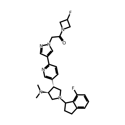 CN(C)[C@@H]1CN(C2CCc3cccc(F)c32)C[C@H]1c1ccc(-c2cnn(CC(=O)N3CC(F)C3)c2)nc1